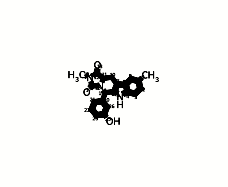 Cc1ccc2[nH]c3c(c2c1)CC1C(=O)N(C)C(=O)N1C3c1cccc(O)c1